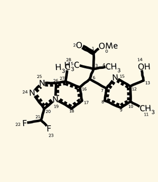 COC(=O)C(C)(C)C(c1ccc(C)c(CO)n1)c1ccn2c(C(F)F)nnc2c1C